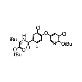 CCC(C)[C@H](NC(=O)c1cc(Cl)c(Oc2cnc(OCC(C)C)c(Cl)c2)cc1F)C(=O)OC(C)(C)C